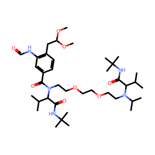 COC(Cc1ccc(C(=O)N(CCOCCOCCN(C(C)C)C(C(=O)NC(C)(C)C)C(C)C)C(C(=O)NC(C)(C)C)C(C)C)cc1NC=O)OC